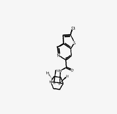 C[C@H]1[C@H](NC(=O)c2cc3sc(Cl)cc3cn2)C2CCN1CC2